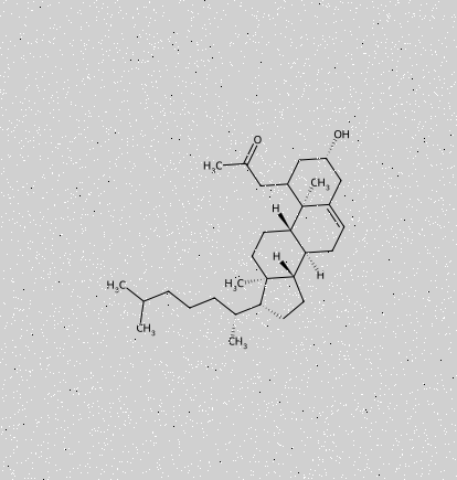 CC(=O)CC1C[C@H](O)CC2=CC[C@H]3[C@@H]4CC[C@H]([C@H](C)CCCC(C)C)[C@@]4(C)CC[C@@H]3[C@]21C